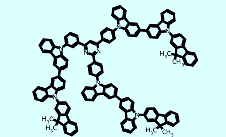 CC1(C)c2ccccc2-c2ccc(-n3c4ccccc4c4cc(-c5ccc6c(c5)c5ccccc5n6-c5ccc(-c6cc(-c7cccc(-n8c9ccccc9c9cc(-c%10ccc%11c(c%10)c%10ccccc%10n%11-c%10ccc%11c(c%10)C(C)(C)c%10ccccc%10-%11)ccc98)c7)nc(-c7ccc(-n8c9ccccc9c9cc(-c%10ccc%11c(c%10)c%10ccccc%10n%11-c%10ccc%11c(c%10)C(C)(C)c%10ccccc%10-%11)ccc98)cc7)n6)cc5)ccc43)cc21